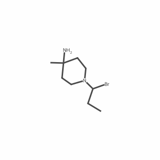 CCC(Br)N1CCC(C)(N)CC1